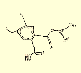 O=C(O)c1cc(F)c(F)cc1C(=O)OB(O)O